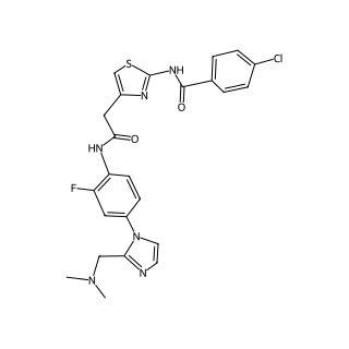 CN(C)Cc1nccn1-c1ccc(NC(=O)Cc2csc(NC(=O)c3ccc(Cl)cc3)n2)c(F)c1